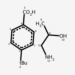 CC(C)(C)c1ccc(C(=O)O)cc1.CC(O)CN